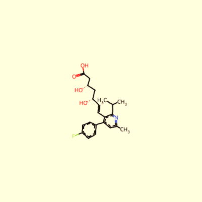 Cc1cc(-c2ccc(F)cc2)c(/C=C/[C@H](O)C[C@H](O)CC(=O)O)c(C(C)C)n1